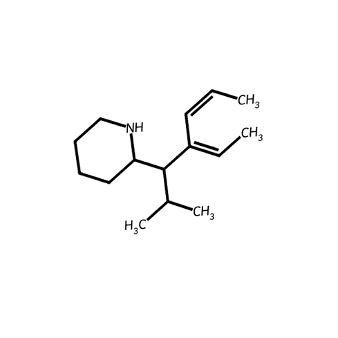 C/C=C\C(=C/C)C(C(C)C)C1CCCCN1